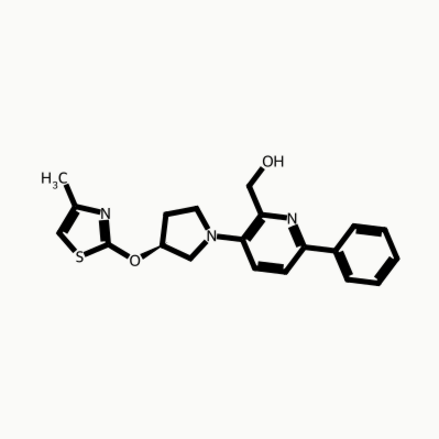 Cc1csc(O[C@H]2CCN(c3ccc(-c4ccccc4)nc3CO)C2)n1